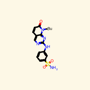 CCC(C)n1c(=O)ccc2cnc(Nc3cccc(S(N)(=O)=O)c3)nc21